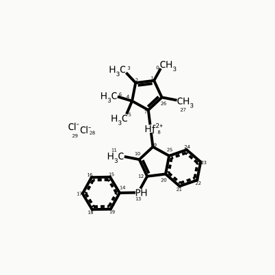 CC1=C(C)C(C)(C)[C]([Hf+2][CH]2C(C)=C(Pc3ccccc3)c3ccccc32)=C1C.[Cl-].[Cl-]